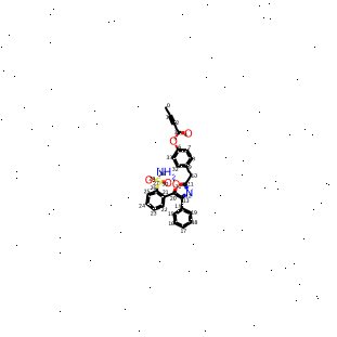 CC#CC(=O)Oc1ccc(Cc2nc(-c3ccccc3)c(-c3ccccc3S(N)(=O)=O)o2)cc1